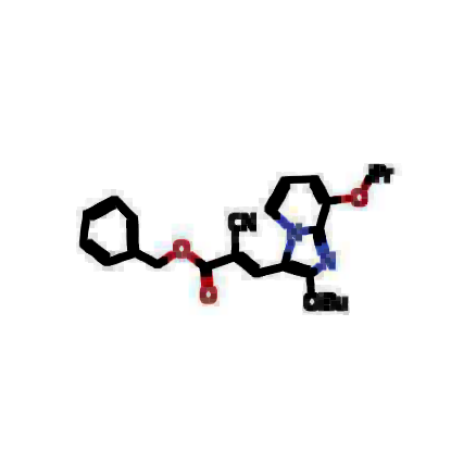 CC(C)COc1nc2c(OC(C)C)cccn2c1C=C(C#N)C(=O)OCc1ccccc1